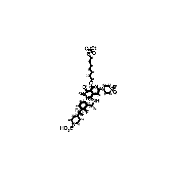 CCS(=O)(=O)OCCCCCCCOc1nc(N2CCS(=O)(=O)CC2)cc2c(N[C@H](C)c3cccc(C(F)(F)C4CCN(C(=O)O)CC4)c3F)nn(C)c(=O)c12